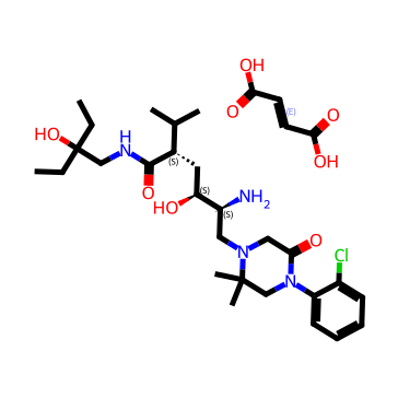 CCC(O)(CC)CNC(=O)[C@@H](C[C@H](O)[C@@H](N)CN1CC(=O)N(c2ccccc2Cl)CC1(C)C)C(C)C.O=C(O)/C=C/C(=O)O